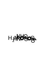 CCC(=O)Oc1ccc(OC(=O)c2ccc(NC(=N)N)cc2)cc1